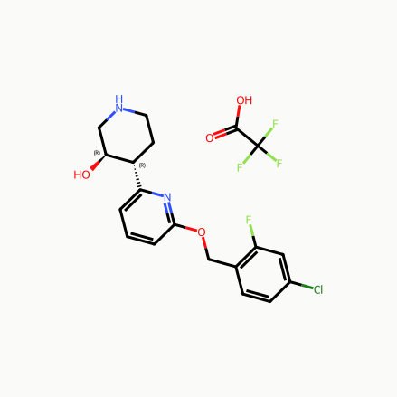 O=C(O)C(F)(F)F.O[C@H]1CNCC[C@@H]1c1cccc(OCc2ccc(Cl)cc2F)n1